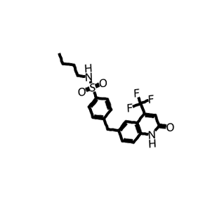 CCCCNS(=O)(=O)c1ccc(Cc2ccc3[nH]c(=O)cc(C(F)(F)F)c3c2)cc1